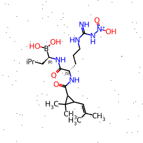 CC(C)=CC1C(C(=O)N[C@@H](CCCNC(=N)N[N+](=O)O)C(=O)N[C@@H](CC(C)C)B(O)O)C1(C)C